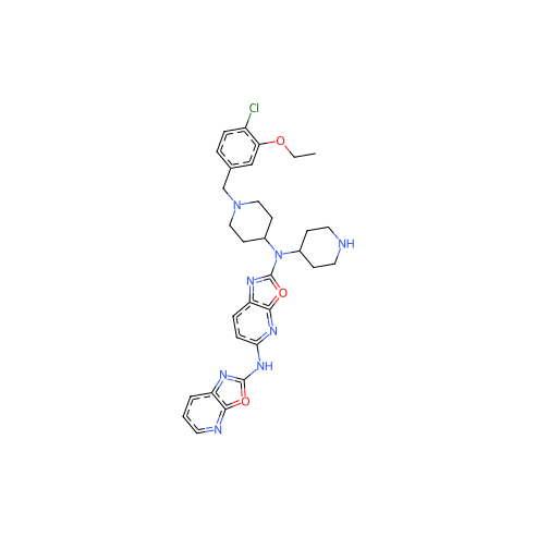 CCOc1cc(CN2CCC(N(c3nc4ccc(Nc5nc6cccnc6o5)nc4o3)C3CCNCC3)CC2)ccc1Cl